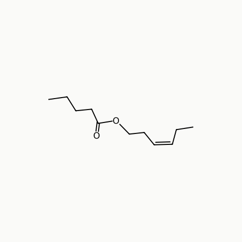 CC/C=C\CCOC(=O)CCCC